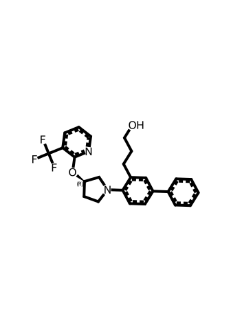 OCCCc1cc(-c2ccccc2)ccc1N1CC[C@@H](Oc2ncccc2C(F)(F)F)C1